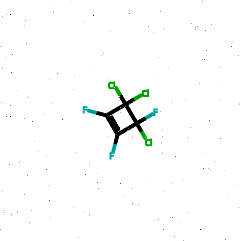 FC1=C(F)C(Cl)(Cl)C1(F)Cl